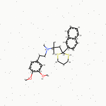 COc1ccc(CCN(C)C(C)(C)CC2(c3ccc4ccccc4c3)SCCCS2)cc1OC